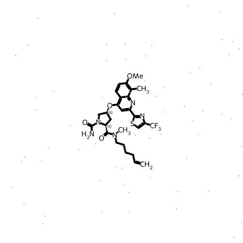 C=CCCCCN(C)C(=O)[C@@H]1C[C@H](Oc2cc(-c3nc(C(F)(F)F)cs3)nc3c(C)c(OC)ccc23)CN1C(N)=O